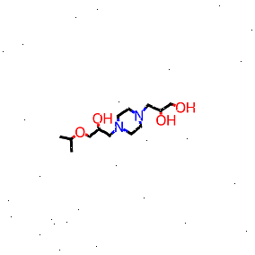 CC(C)OCC(O)CN1CCN(CC(O)CO)CC1